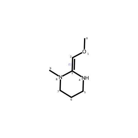 CO/C=C1\NCCCN1C